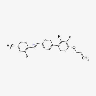 C=CCOc1ccc(-c2ccc(/C=C/c3ccc(C)cc3F)cc2)c(F)c1F